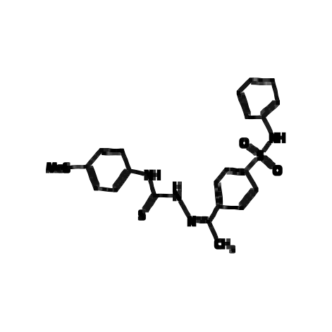 CSc1ccc(NC(=S)NN=C(C)c2ccc(S(=O)(=O)Nc3ccccc3)cc2)cc1